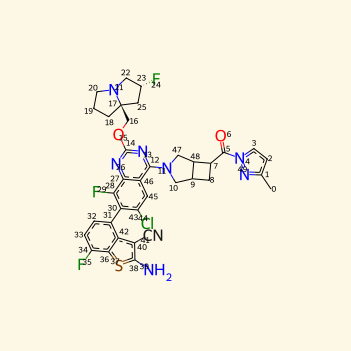 Cc1ccn(C(=O)C2CC3CN(c4nc(OC[C@@]56CCCN5C[C@H](F)C6)nc5c(F)c(-c6ccc(F)c7sc(N)c(C#N)c67)c(Cl)cc45)CC32)n1